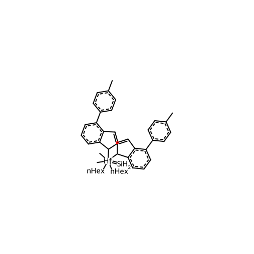 CCCCC[CH2][Hf]([CH3])([CH3])(=[SiH2])([CH2]CCCCC)([CH]1C=Cc2c(-c3ccc(C)cc3)cccc21)[CH]1C=Cc2c(-c3ccc(C)cc3)cccc21